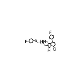 Fc1ccc(SCCCC2Cc3[nH]c4c(Cl)ccc(-c5ccc(F)cc5)c4c3CN2)cc1